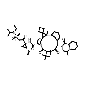 C=C[C@@H]1C[C@]1(NC(=O)[C@@H]1C[C@@]23CN1C(=O)[C@H](C(C)(C)C)NC(=O)[C@@H](NC(=O)[C@H]1CCCCN1C(C)C)C1CCCC(C1)C2(C)C31CCC1)C(=O)NS(=O)(=O)N(CC)C(C)C